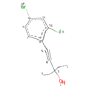 CC(C)(O)C#Cc1ccc(Br)cc1F